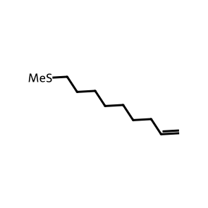 C=CCCCCCCCSC